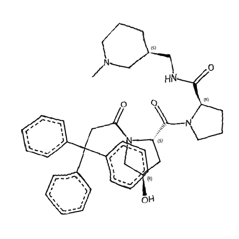 CN1CCC[C@@H](CNC(=O)[C@H]2CCCN2C(=O)[C@@H]2C[C@@H](O)CN2C(=O)CC(c2ccccc2)(c2ccccc2)c2ccccc2)C1